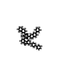 c1ccc(-c2ccc(-c3ccc4c(c3)oc3cccc(C5N=C(c6ccc7ccc(-c8ccccc8)cc7c6)N=C(c6ccc7ccccc7c6)N5)c34)cc2)cc1